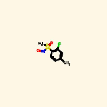 Cc1ccc([SH](C)(=O)N=O)c(Cl)c1